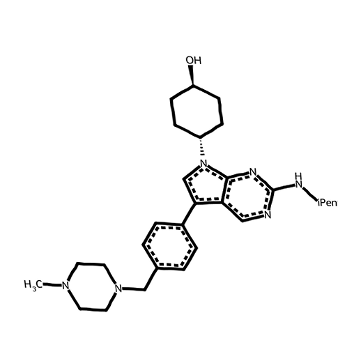 CCCC(C)Nc1ncc2c(-c3ccc(CN4CCN(C)CC4)cc3)cn([C@H]3CC[C@H](O)CC3)c2n1